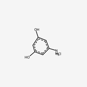 Cl.Nc1cc(O)cc(O)c1